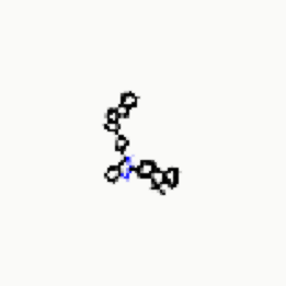 CC1(C)c2ccccc2-c2ccc(-c3nc(-c4ccc(-c5ccc6ccc7c(c6c5)Cc5ccccc5-7)cc4)c4ccccc4n3)cc21